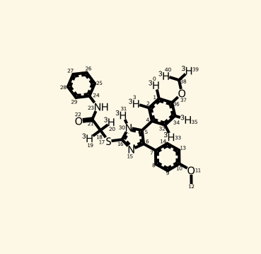 [3H]c1c([3H])c(-c2c(-c3ccc(OC)cc3)nc(SC([3H])([3H])C(=O)Nc3ccccc3)n2[3H])c([3H])c([3H])c1OC([3H])[3H]